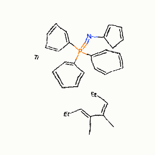 C1=CCC(N=P(c2ccccc2)(c2ccccc2)c2ccccc2)=C1.CCC=C(C)C(C)=CCC.[Ti]